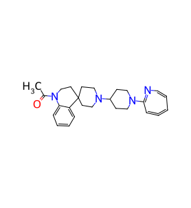 CC(=O)N1CCC2(CCN(C3CCN(C4=NC=CC=C=C4)CC3)CC2)c2ccccc21